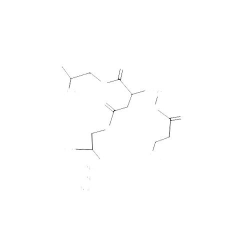 CCCCC(CC)COC(=O)CC(C(=O)OCC(CC)CCCC)S(=O)(=O)O.O=C(O)CCC(=O)OS(=O)(=O)O.[NaH].[NaH].[NaH]